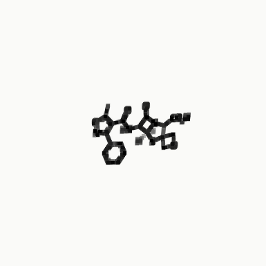 Cc1onc(-c2ccccc2)c1C(=O)NC1C(=O)N2C(C(=O)O)C3(COC3)S[C@@H]12